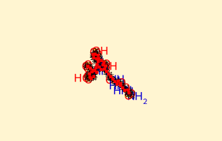 CC1(C)C(/C=C/C(=C/C=C2/N(CCCS(=O)(=O)O)c3ccc4c(S(=O)(=O)O)cccc4c3C2(C)C)c2ccc(C(=O)NCCCCCC(=O)NCc3ccc(C(=O)NCCC(=O)Nc4nnc(S(N)(=O)=O)s4)cn3)cn2)=[N+](CCCS(=O)(=O)[O-])c2ccc3c(S(=O)(=O)O)cccc3c21